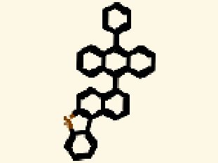 c1ccc(-c2c3ccccc3c(-c3cccc4c3ccc3sc5ccccc5c34)c3ccccc23)cc1